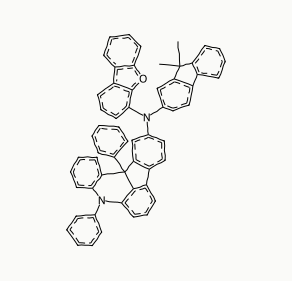 CC1(C)c2ccccc2-c2ccc(N(c3ccc4c(c3)C3(c5ccccc5)c5ccccc5N(c5ccccc5)c5cccc-4c53)c3cccc4c3oc3ccccc34)cc21